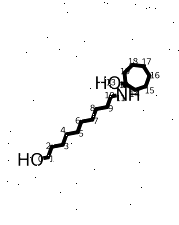 OCCCCCCCCCCNC1(O)CCCCCC1